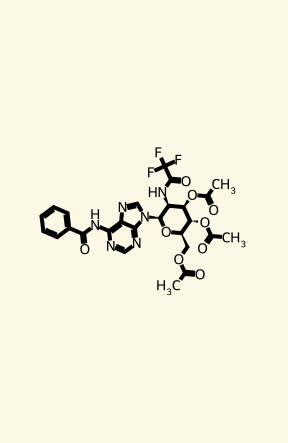 CC(=O)OC[C@H]1O[C@@H](n2cnc3c(NC(=O)c4ccccc4)ncnc32)[C@@H](NC(=O)C(F)(F)F)[C@@H](OC(C)=O)[C@@H]1OC(C)=O